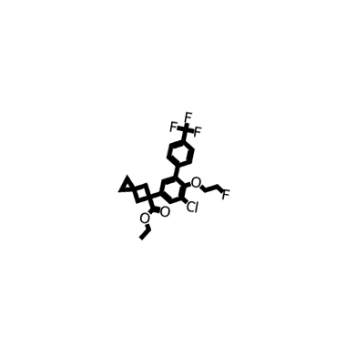 CCOC(=O)C1(c2cc(Cl)c(OCCF)c(-c3ccc(C(F)(F)F)cc3)c2)CC2(CC2)C1